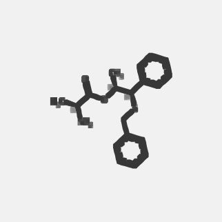 C[C@H](N)C(=O)O[C@@H](C)[C@H](SCc1ccccc1)c1ccccc1